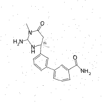 CN1C(=O)C[C@@](C)(c2cccc(-c3cccc(C(N)=O)c3)c2)NC1N